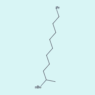 CCCCC(C)CCCCCCCCC(C)C